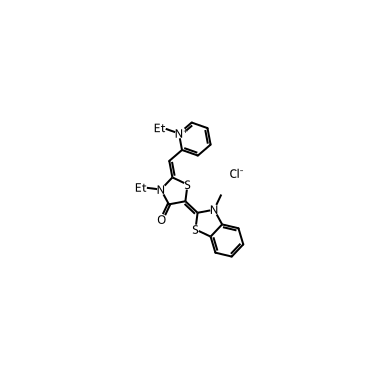 CCn1c(=O)/c(=C2\Sc3ccccc3N2C)s/c1=C\c1cccc[n+]1CC.[Cl-]